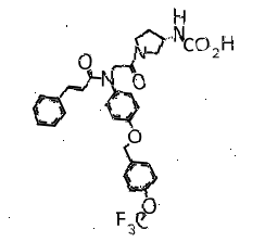 O=C(O)N[C@H]1CCN(C(=O)CN(C(=O)C=Cc2ccccc2)c2ccc(OCc3ccc(OC(F)(F)F)cc3)cc2)C1